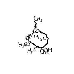 CCC/C=C/CC1C/C=C/C=C(C)/C=C/C=C\C(O)C(O)/C=C(C)\C=C\C(OC)CC(=O)N1